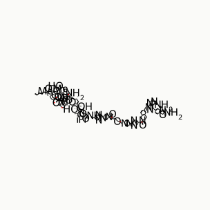 C=C/C=C/C=C(\C)[C@H](C[C@@H]1CC[C@@H](C)[C@](O)(C(=O)C(=O)N2CCCC[C@H]2C(=O)O[C@@H](C[C@@H](O)[C@H](C)/C=C(\C)[C@@H](O)[C@@H](O)/C(=N/OCC(=O)NCc2cnc(N3CCN(C(=O)CCOCCN4CCN(c5ncc(C(=O)N6CCc7cc(Cn8nc(-c9ccc%10oc(N)nc%10c9)c9c(N)ncnc98)ccc7C6)cn5)CC4)CC3)nc2)[C@H](C)CC(C)C)[C@H](N)C[C@@H]2CC[C@@H](O)[C@H](OC)C2)O1)OC